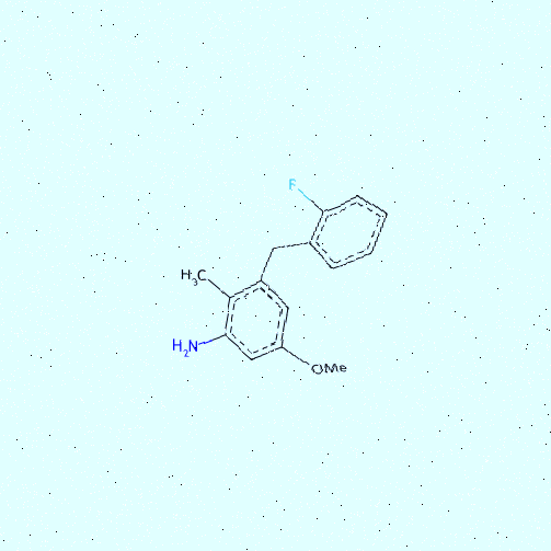 COc1cc(N)c(C)c(Cc2ccccc2F)c1